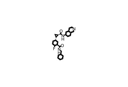 O=C(NCc1ccccc1)c1cc([C@@H]2C[C@H]2C(=O)Nc2ccc3cnccc3c2)ccc1F